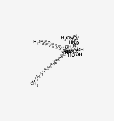 CCCCCCCCCCCCCCCCCCCCCCCCCCN[C@@H](CO[C@@H]1O[C@H](COC(=O)Nc2ccccc2OCC)[C@H](O)[C@H](O)[C@H]1O)[C@H](O)[C@H](O)CCCCCCCCCCCCCC